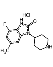 Cc1cc(F)c2[nH]c(=O)n(C3CCNCC3)c2c1.Cl